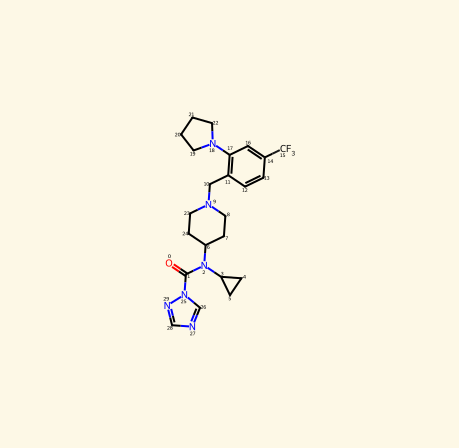 O=C(N(C1CC1)C1CCN(Cc2ccc(C(F)(F)F)cc2N2CCCC2)CC1)n1cncn1